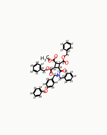 COC(=O)C1C(C(=O)OCc2ccccc2)C(C(=O)N(Cc2ccccc2)Cc2ccc(Oc3ccccc3)cc2)C1C(=O)OCc1ccccc1